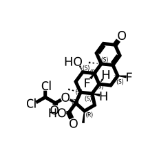 C[C@@H]1C[C@H]2[C@@H]3C[C@H](F)C4=CC(=O)C=C[C@]4(C)[C@@]3(F)[C@@H](O)C[C@]2(C)[C@@]1(OC(=O)C(Cl)Cl)C(=O)O